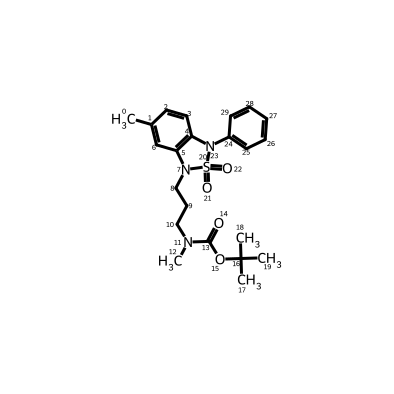 Cc1ccc2c(c1)N(CCCN(C)C(=O)OC(C)(C)C)S(=O)(=O)N2c1ccccc1